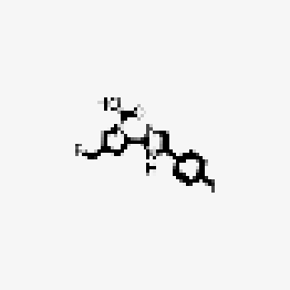 O=C(O)N1CC(CF)CC1c1ncc(-c2ccc(I)cc2)[nH]1